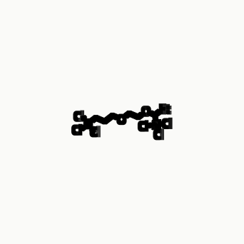 CCC(OCCOCCC[Si](Cl)(Cl)Cl)[Si](Cl)(Cl)Cl